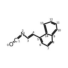 O=C=NC=Cc1cccc2ccccc12